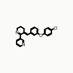 Clc1ccc(Oc2cccc(C=C3CCCN=C3c3cccnc3)c2)cc1